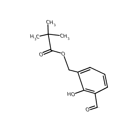 CC(C)(C)C(=O)OCc1cccc([C]=O)c1O